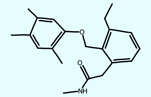 CCc1cccc(CC(=O)NC)c1COc1cc(C)c(C)cc1C